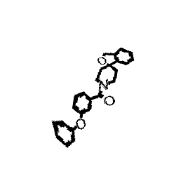 O=C(c1cccc(Oc2ccccc2)c1)N1CCC2(CC1)OCc1ccccc12